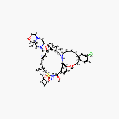 CO[C@@]1(CN2CCN3CCOC[C@@H]3C2)/C=C/C[C@H](C)[C@@H](CC2CCC2)S(=O)(=O)NC(=O)c2ccc3c(c2)N(CCCCc2cc(Cl)ccc2CO3)C[C@@H]2CC[C@H]21